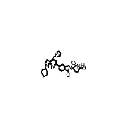 O=C1CCC(N2Cc3cc(-c4cc(CN5CCCC5)c5ccn(C6CCCCC6)c5n4)ccc3C2=O)C(=O)N1